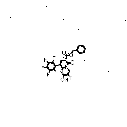 O=C(OCc1ccccc1)c1cc(-c2c(F)c(F)c(F)c(F)c2F)c2nc(O)c(F)cn2c1=O